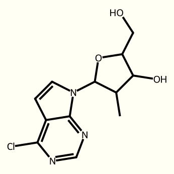 CC1C(O)C(CO)OC1n1ccc2c(Cl)ncnc21